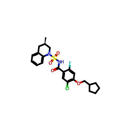 C[C@@H]1Cc2ccccc2N(S(=O)(=O)NC(=O)c2cc(Cl)c(OCC3CCCC3)cc2F)C1